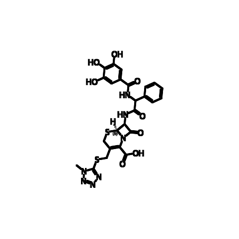 Cn1nnnc1SCC1=C(C(=O)O)N2C(=O)C(NC(=O)C(NC(=O)c3cc(O)c(O)c(O)c3)c3ccccc3)[C@@H]2SC1